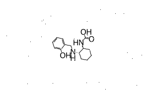 O=C(O)N[C@H]1CCCC[C@@H]1NCc1ccccc1O